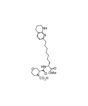 COC(=O)[C@H](CCCCCCCc1ccc2c(n1)NCCC2)NC(=O)[C@@H]1COCCN1C(=O)O